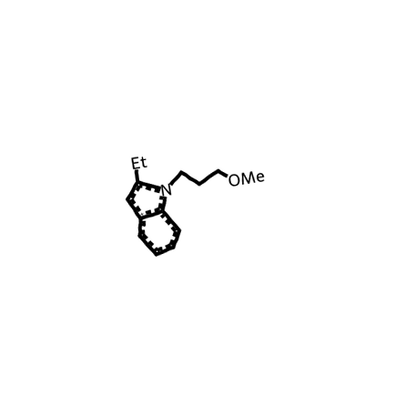 CCc1cc2ccccc2n1CCCOC